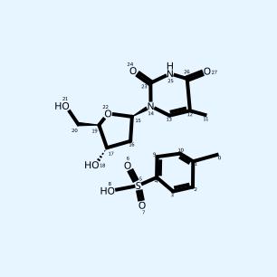 Cc1ccc(S(=O)(=O)O)cc1.Cc1cn([C@H]2C[C@H](O)[C@@H](CO)O2)c(=O)[nH]c1=O